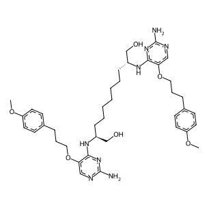 COc1ccc(CCCOc2cnc(N)nc2N[C@H](CO)CCCCCCC[C@H](CO)Nc2nc(N)ncc2OCCCc2ccc(OC)cc2)cc1